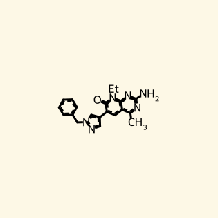 CCn1c(=O)c(-c2cnn(Cc3ccccc3)c2)cc2c(C)nc(N)nc21